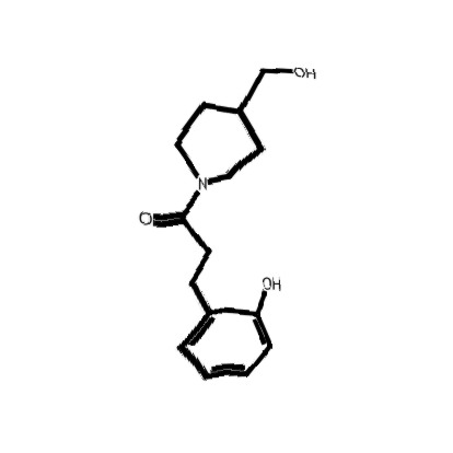 O=C(CCc1ccccc1O)N1CCC(CO)CC1